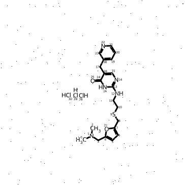 CN(C)Cc1ccc(CSCCNc2ncc(Cc3cccnc3)c(=O)[nH]2)o1.Cl.Cl.Cl